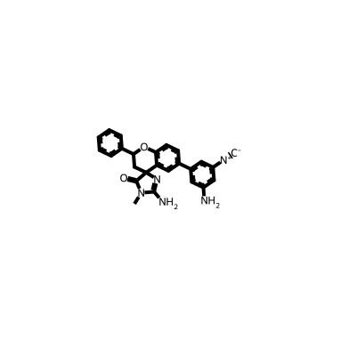 [C-]#[N+]c1cc(N)cc(-c2ccc3c(c2)C2(CC(c4ccccc4)O3)N=C(N)N(C)C2=O)c1